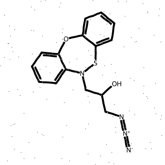 [N-]=[N+]=NCC(O)Cn1sc2ccccc2oc2ccccc21